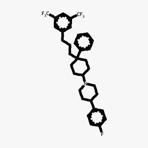 Fc1ccc(C2CCN(C3CCC(CCCc4cc(C(F)(F)F)cc(C(F)(F)F)c4)(c4ccccc4)CC3)CC2)cc1